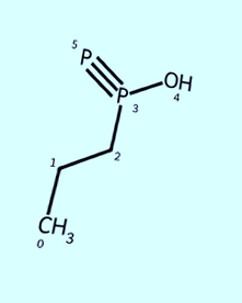 CCCP(O)#P